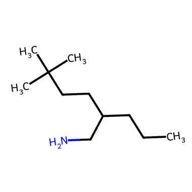 CCCC(CN)CCC(C)(C)C